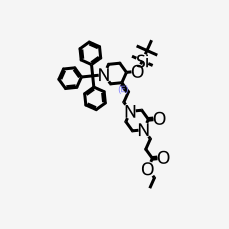 CCOC(=O)CCN1CCN(C/C=C2\CN(C(c3ccccc3)(c3ccccc3)c3ccccc3)CCC2O[Si](C)(C)C(C)(C)C)CC1=O